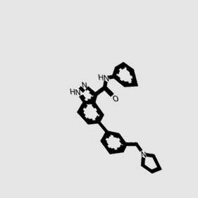 O=C(Nc1ccccc1)c1n[nH]c2ccc(-c3cccc(CN4CCCC4)c3)cc12